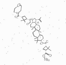 C=C(C)[C@@H]1CC[C@]2(C(=O)N[C@H]3C[C@@H](C(=O)N4CCOCC4)C3(C)C)CC[C@]3(C)[C@H](CC[C@]4(C)[C@@]5(C)CC[C@H](OC(=O)[C@H]6C[C@@H](C(=O)OCCCC)C6(C)C)C(C)(C)[C@]5(C)CC[C@]43C)C12